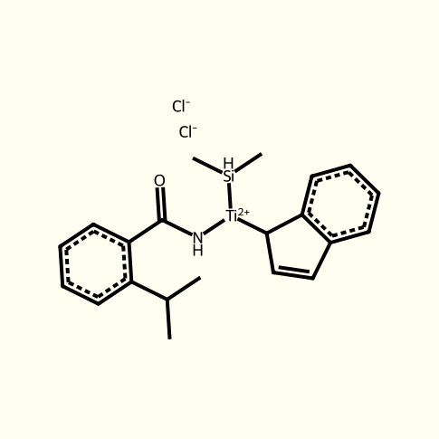 CC(C)c1ccccc1C(=O)[NH][Ti+2]([CH]1C=Cc2ccccc21)[SiH](C)C.[Cl-].[Cl-]